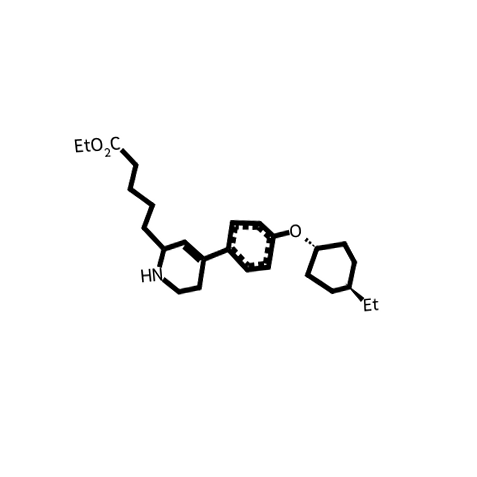 CCOC(=O)CCCCC1C=C(c2ccc(O[C@H]3CC[C@H](CC)CC3)cc2)CCN1